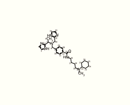 CC(c1ncc[nH]1)N(Cc1ccc(C(=O)NCCCCN(C)C2CCCCC2)cc1)Cc1ncc[nH]1